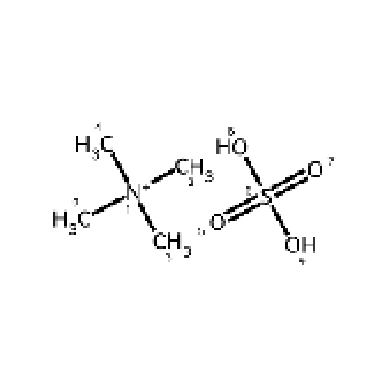 C[N+](C)(C)C.O=S(=O)(O)O